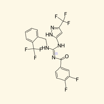 O=C(/N=C(/NCc1ccccc1C(F)(F)F)Nc1cc(C(F)(F)F)n[nH]1)c1ccc(F)c(F)c1